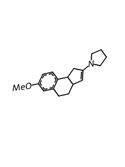 COc1ccc2c(c1)CCC1C=C(N3CCCC3)CC21